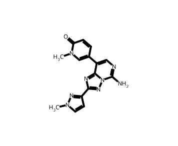 Cn1ccc(-c2nc3c(-c4ccc(=O)n(C)c4)cnc(N)n3n2)n1